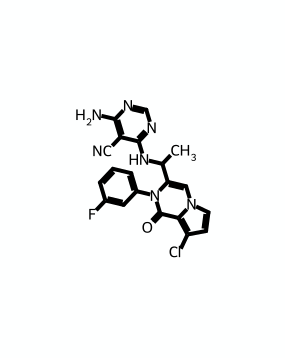 CC(Nc1ncnc(N)c1C#N)c1cn2ccc(Cl)c2c(=O)n1-c1cccc(F)c1